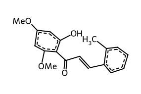 COc1cc(O)c(C(=O)/C=C/c2ccccc2C)c(OC)c1